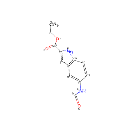 CCOC(=O)c1cc2cc(NC=O)ccc2[nH]1